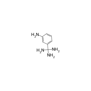 Nc1cccc(C(N)(N)N)c1